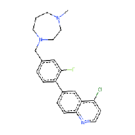 CN1CCCN(Cc2ccc(-c3ccc4nccc(Cl)c4c3)c(F)c2)CC1